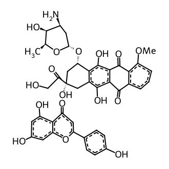 COc1cccc2c1C(=O)c1c(O)c3c(c(O)c1C2=O)C[C@@](O)(C(=O)CO)C[C@@H]3O[C@H]1C[C@H](N)[C@H](O)[C@H](C)O1.O=c1cc(-c2ccc(O)cc2)oc2cc(O)cc(O)c12